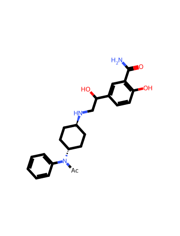 CC(=O)N(c1ccccc1)[C@H]1CC[C@H](NCC(O)c2ccc(O)c(C(N)=O)c2)CC1